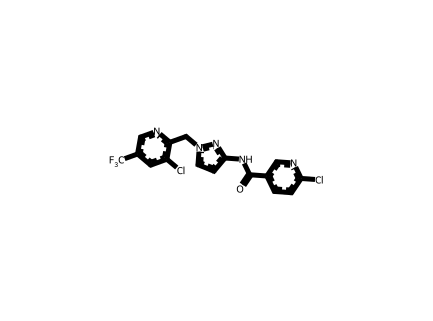 O=C(Nc1ccn(Cc2ncc(C(F)(F)F)cc2Cl)n1)c1ccc(Cl)nc1